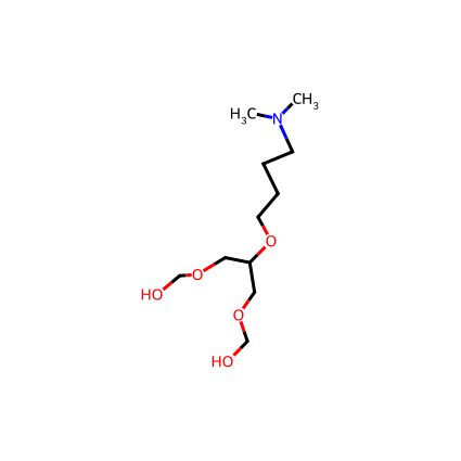 CN(C)CCCCOC(COCO)COCO